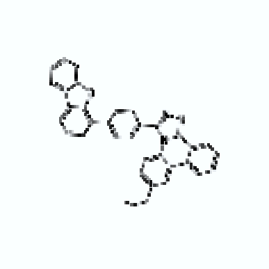 CC(C)Cc1ccc2c(c1)c1ccccc1c1nnc(-c3ccc(-c4cccc5c4oc4ccccc45)cc3)n21